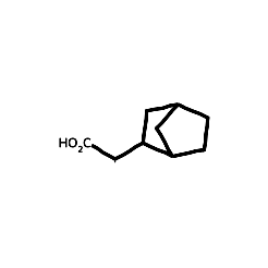 O=C(O)[CH]C1CC2CCC1C2